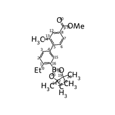 CCc1ccc(-c2ccc(C(=O)OC)cc2C)cc1B1OC(C)(C)C(C)(C)O1